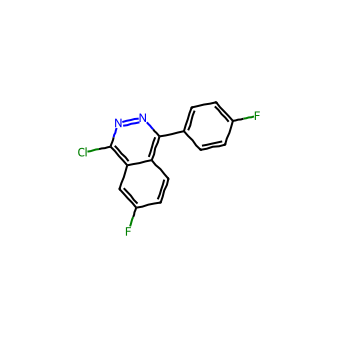 Fc1ccc(-c2nnc(Cl)c3cc(F)ccc23)cc1